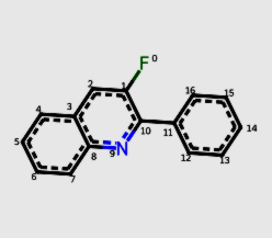 Fc1cc2ccccc2nc1-c1ccccc1